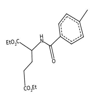 CCOC(=O)CCC(NC(=O)c1ccc(C)cc1)C(=O)OCC